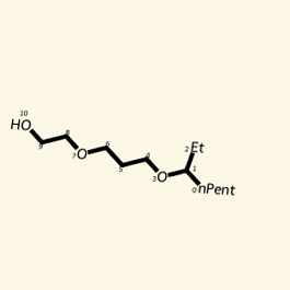 CCCCCC(CC)OCCCOCCO